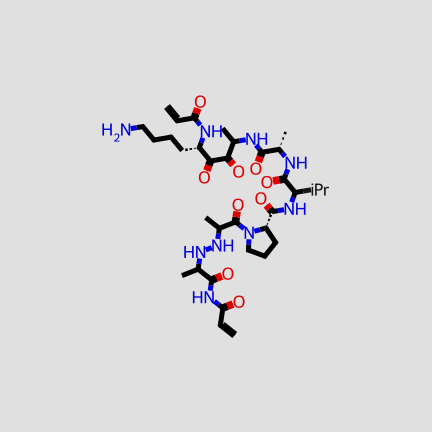 C=CC(=O)NC(=O)C(C)NNC(C)C(=O)N1CCC[C@H]1C(=O)NC(C(=O)N[C@@H](C)C(=O)NC(C)C(=O)C(=O)[C@H](CCCCN)NC(=O)C=C)C(C)C